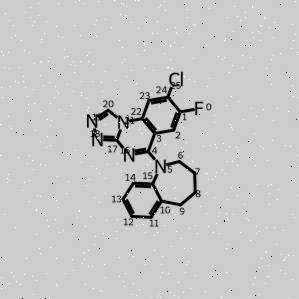 Fc1cc2c(N3CCCCc4ccccc43)nc3nncn3c2cc1Cl